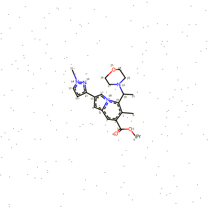 Cc1c(C(=O)OC(C)C)cc2cc(-c3ccn(C)n3)cn2c1C(C)N1CCOCC1